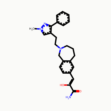 Cn1cc(CCN2CCCc3cc(C=C(O)C(N)=O)ccc3C2)c(-c2ccccc2)n1